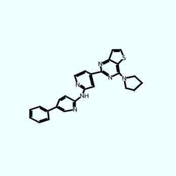 [CH]1CCN(c2nc(-c3ccnc(Nc4ccc(-c5ccccc5)cn4)c3)nc3ccsc23)C1